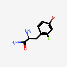 NC(=O)[C@@H](N)Cc1ccc(Br)cc1F